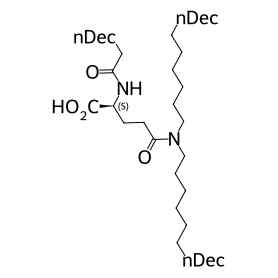 CCCCCCCCCCCCCCCCN(CCCCCCCCCCCCCCCC)C(=O)CC[C@H](NC(=O)CCCCCCCCCCC)C(=O)O